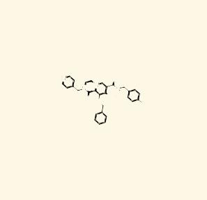 O=C(NCc1ccc(F)cc1)c1cn2ccn(Cc3ccncc3)c(=O)c2c(OCc2ccccc2)c1=O